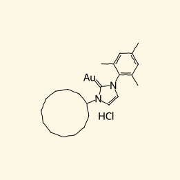 Cc1cc(C)c(-n2ccn(C3CCCCCCCCCCC3)[c]2=[Au])c(C)c1.Cl